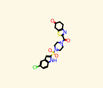 O=C1CCc2nc(C(=O)N3CCN(S(=O)(=O)c4cc5cc(Cl)ccc5[nH]4)CC3)sc2C1